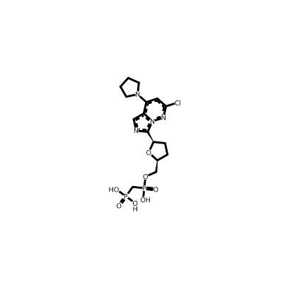 O=P(O)(O)CP(=O)(O)OC[C@@H]1CC[C@H](c2ncc3c(N4CCCC4)cc(Cl)nn23)O1